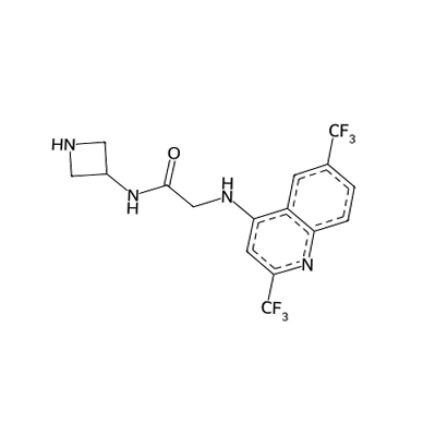 O=C(CNc1cc(C(F)(F)F)nc2ccc(C(F)(F)F)cc12)NC1CNC1